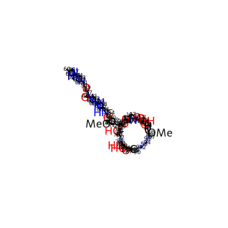 CO[C@H]1C[C@@H]2CC[C@@H](C)[C@@](O)(O2)C(=O)C(=O)N2CCCC[C@H]2C(=O)O[C@H]([C@H](C)C[C@@H]2CC[C@@H](OC(=S)NCc3cnc(N4CCN(C(=O)CCOCCN5CCN(c6ncc(C)cn6)CC5)CC4)nc3)[C@H](OC)C2)C[C@@H](O)[C@H](C)/C=C(\C)[C@@H](O)[C@@H](O)C(=O)[C@H](C)C[C@H](C)/C=C/C=C/C=C/1C